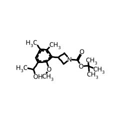 COc1c(C(C)O)cc(C)c(C)c1C1CN(C(=O)OC(C)(C)C)C1